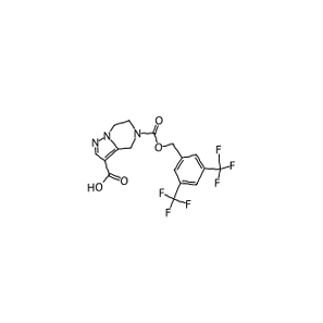 O=C(O)c1cnn2c1CN(C(=O)OCc1cc(C(F)(F)F)cc(C(F)(F)F)c1)CC2